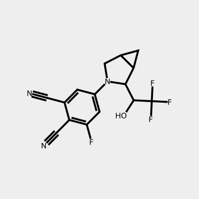 N#Cc1cc(N2CC3CC3C2C(O)C(F)(F)F)cc(F)c1C#N